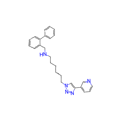 c1ccc(-c2ccccc2CNCCCCCCn2cc(-c3cccnc3)nn2)cc1